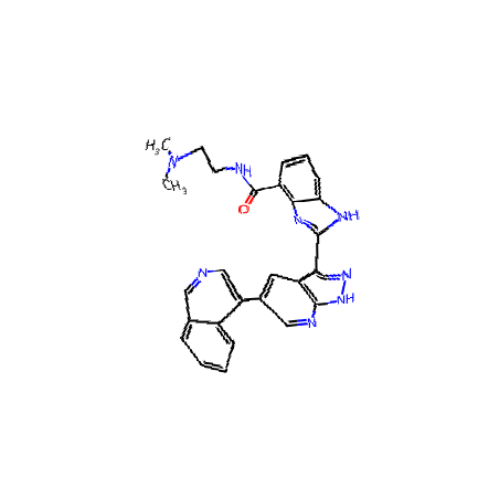 CN(C)CCNC(=O)c1cccc2[nH]c(-c3n[nH]c4ncc(-c5cncc6ccccc56)cc34)nc12